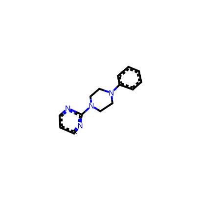 [c]1ccnc(N2CCN(c3ccccc3)CC2)n1